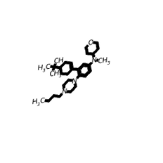 CCCCN1CCN(c2ccc(N(C)C3CCOCC3)cc2C2=CCC(C(C)(C)C)CC2)CC1